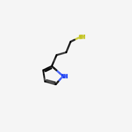 SCCCc1ccc[nH]1